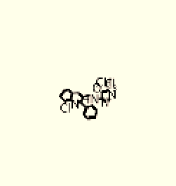 COc1c(Cl)ncnc1NCc1cc2cccc(Cl)c2nc1-c1ccccc1